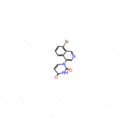 O=c1ccn(-c2cncc3c(Br)cccc23)c(=O)[nH]1